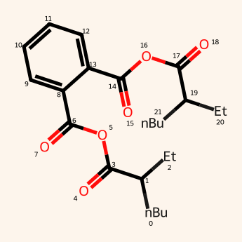 CCCCC(CC)C(=O)OC(=O)c1ccccc1C(=O)OC(=O)C(CC)CCCC